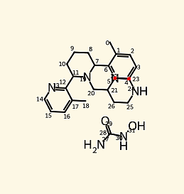 Cc1cccnc1C1CCCC(c2ncccc2C)N1CC1CCNCC1.NC(=O)NO